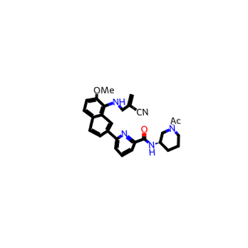 C=C(C#N)CNc1c(OC)ccc2ccc(-c3cccc(C(=O)N[C@H]4CCCN(C(C)=O)C4)n3)cc12